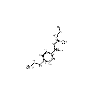 CCOC(=O)CN(C)c1ccc(CCBr)cc1